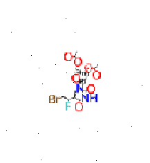 CC(=O)OC[C@H]1O[C@@H](n2cc(C(F)CBr)c(=O)[nH]c2=O)C[C@@H]1OC(C)=O